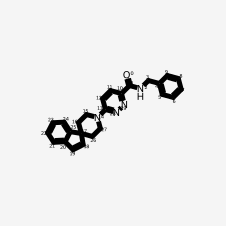 O=C(NCc1ccccc1)c1ccc(N2CCC3(C=Cc4ccccc43)CC2)nn1